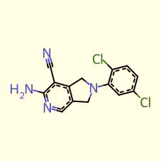 N#Cc1c(N)ncc2c1CN(c1cc(Cl)ccc1Cl)C2